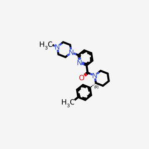 Cc1ccc([C@H]2CCCCN2C(=O)c2cccc(N3CCN(C)CC3)n2)cc1